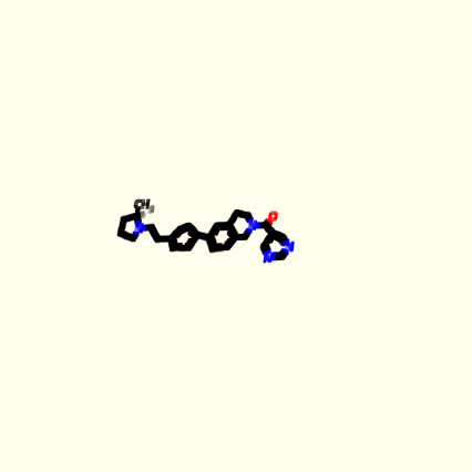 C[C@@H]1CCCN1CCc1ccc(-c2ccc3c(c2)CCN(C(=O)c2cncnc2)C3)cc1